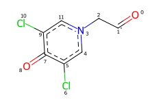 O=[C]Cn1cc(Cl)c(=O)c(Cl)c1